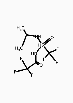 CC(C)N[SH](=O)(NC(=O)C(F)(F)F)C(F)(F)F